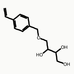 C=Cc1ccc(COCC(O)C(O)CO)cc1